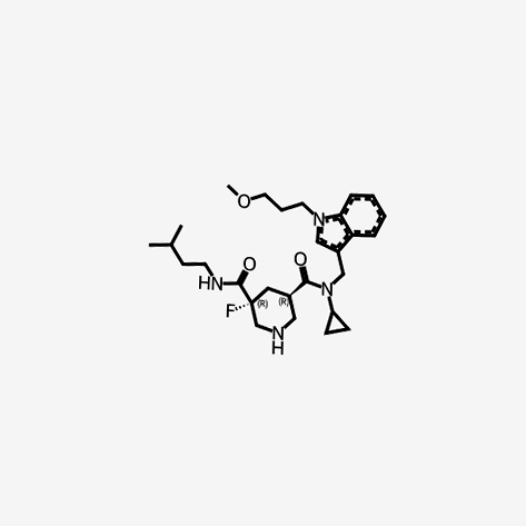 COCCCn1cc(CN(C(=O)[C@H]2CNC[C@@](F)(C(=O)NCCC(C)C)C2)C2CC2)c2ccccc21